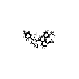 C[C@H](NC(CC#N)c1ccc(F)cc1)[C@@H](Cc1ccc(CI)cc1)c1cccc(C#N)c1